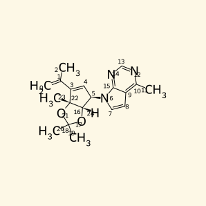 C=C(C)C1=C[C@@H](n2ccc3c(C)ncnc32)[C@@H]2OC(C)(C)O[C@]12C